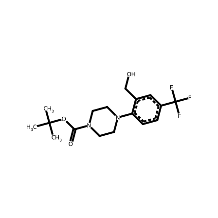 CC(C)(C)OC(=O)N1CCN(c2ccc(C(F)(F)F)cc2CO)CC1